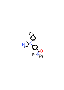 CC(C)N(C(=O)c1ccc(N(c2cccc(C#N)c2)C2CCN(C)CC2)cc1)C(C)C